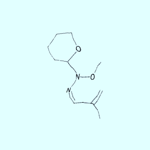 C=C(C)/C=N\N(OC)C1CCCCO1